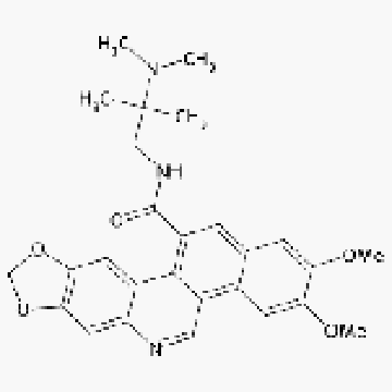 COc1cc2cc(C(=O)NCC(C)(C)N(C)C)c3c4cc5c(cc4ncc3c2cc1OC)OCO5